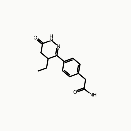 CCC1CC(=O)NN=C1c1ccc(CC([NH])=O)cc1